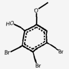 COc1cc(Br)c(Br)c(Br)c1O